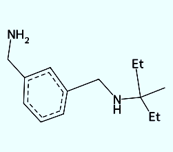 CCC(C)(CC)NCc1cccc(CN)c1